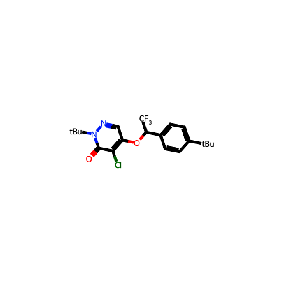 CC(C)(C)c1ccc(C(Oc2cnn(C(C)(C)C)c(=O)c2Cl)C(F)(F)F)cc1